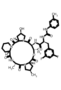 Cc1cccc(NC(=O)N[C@@H](Cc2cc(F)cc(F)c2)C(=O)N[C@@H]2C(=O)N3C[C@H](O)C[C@H]3C(=O)N3CCCC[C@H]3C(=O)N[C@@H](C)C(=O)N3C[C@H](C)C[C@H]3C(=O)O[C@H]2C)c1